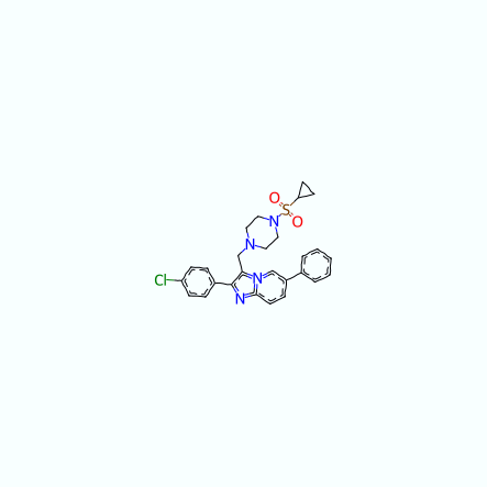 O=S(=O)(C1CC1)N1CCN(Cc2c(-c3ccc(Cl)cc3)nc3ccc(-c4ccccc4)cn23)CC1